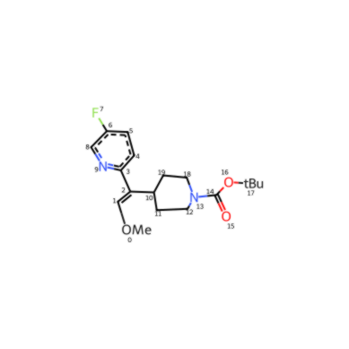 COC=C(c1ccc(F)cn1)C1CCN(C(=O)OC(C)(C)C)CC1